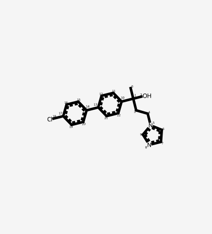 CC(O)(CCn1ccnc1)c1ccc(-c2ccc(Cl)cc2)cc1